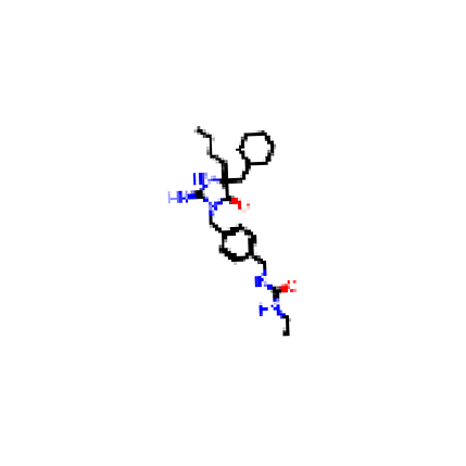 CCCCC1(CC2CCCCC2)NC(=N)N(Cc2ccc(CNC(=O)NCC)cc2)C1=O